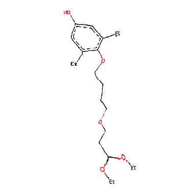 CCOC(CCOCCCCOc1c(CC)cc(O)cc1CC)OCC